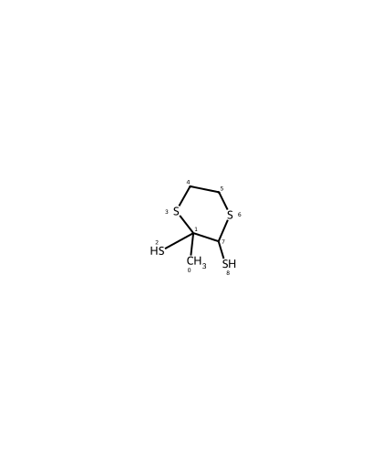 CC1(S)SCCSC1S